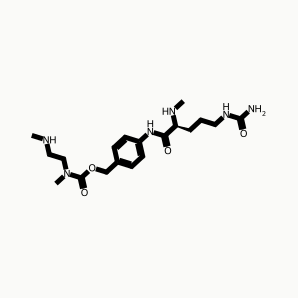 CNCCN(C)C(=O)OCc1ccc(NC(=O)[C@H](CCCNC(N)=O)NC)cc1